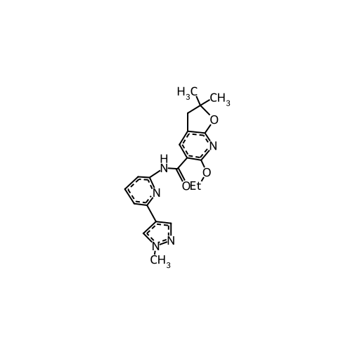 CCOc1nc2c(cc1C(=O)Nc1cccc(-c3cnn(C)c3)n1)CC(C)(C)O2